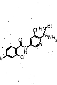 CCNN(N)c1ncc(NC(=O)c2ccc(Br)cc2Cl)cc1Cl